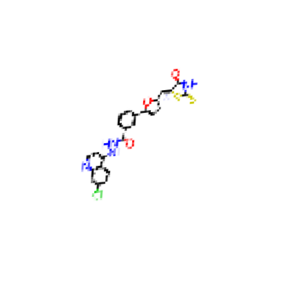 O=C1NC(=S)S/C1=C\C1CC=C(c2cccc(C(=O)NNc3ccnc4cc(Cl)ccc34)c2)O1